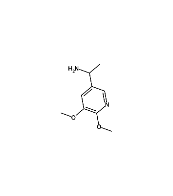 COc1cc(C(C)N)cnc1OC